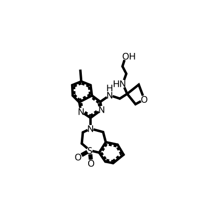 Cc1ccc2nc(N3CCS(=O)(=O)c4ccccc4C3)nc(NCC3(NCCO)COC3)c2c1